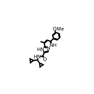 COc1cccc(C(=N)/C=C(/C)c2ncc(C(=O)NC(C3CC3)C3CC3)[nH]2)c1